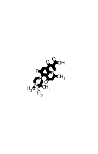 CC1CC(=O)c2c(N3CCN(C)C(C)(C)C3)c(F)cc3c(=O)c(C(=O)O)cn1c23